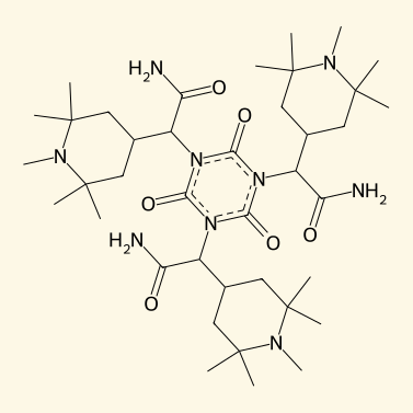 CN1C(C)(C)CC(C(C(N)=O)n2c(=O)n(C(C(N)=O)C3CC(C)(C)N(C)C(C)(C)C3)c(=O)n(C(C(N)=O)C3CC(C)(C)N(C)C(C)(C)C3)c2=O)CC1(C)C